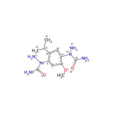 COc1cc(N(N)C(N)=O)c(C(C)C)cc1N(N)C(N)=O